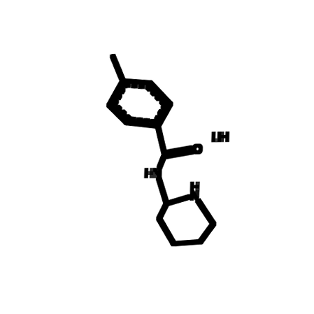 Cc1ccc(C(=O)NC2CCCCN2)cc1.[LiH]